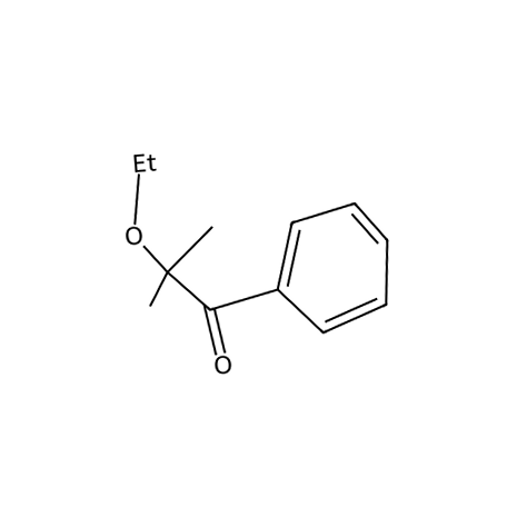 CCOC(C)(C)C(=O)c1ccccc1